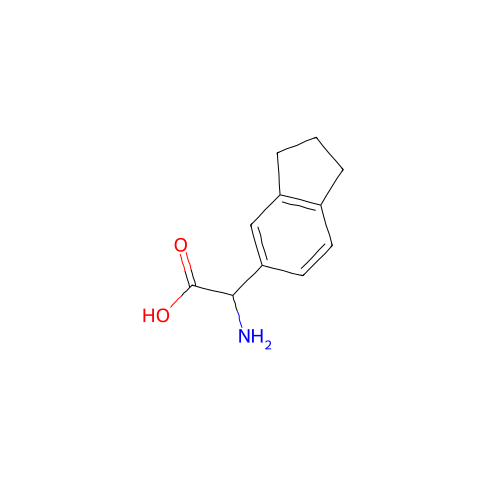 NC(C(=O)O)c1ccc2c(c1)CCC2